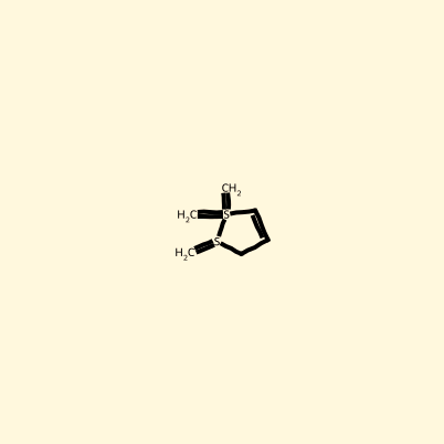 C=S1CC=CS1(=C)=C